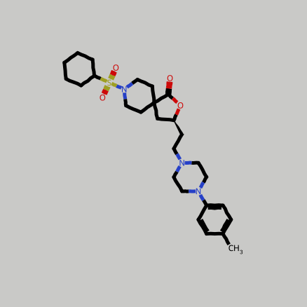 Cc1ccc(N2CCN(CC[C@H]3CC4(CCN(S(=O)(=O)C5CCCCC5)CC4)C(=O)O3)CC2)cc1